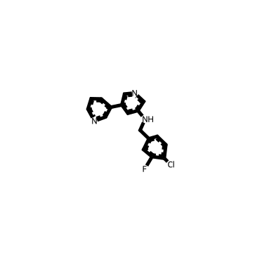 Fc1cc(CNc2cncc(-c3cccnc3)c2)ccc1Cl